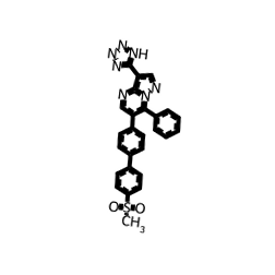 CS(=O)(=O)c1ccc(-c2ccc(-c3cnc4c(-c5nnn[nH]5)cnn4c3-c3ccccc3)cc2)cc1